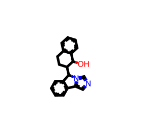 OC1c2ccccc2CCC1C1c2ccccc2-c2cncn21